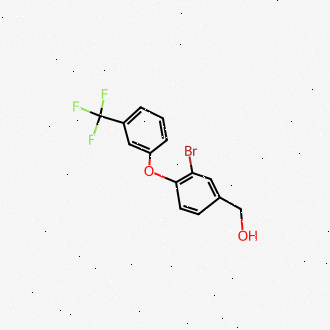 OCc1ccc(Oc2cccc(C(F)(F)F)c2)c(Br)c1